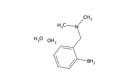 Bc1ccccc1CN(C)C.O.O